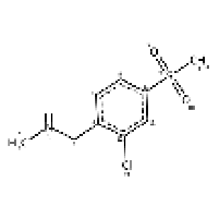 CNCc1ccc(S(C)(=O)=O)cc1Cl